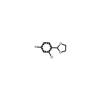 Fc1ccc([C]2OCCO2)c(Cl)c1